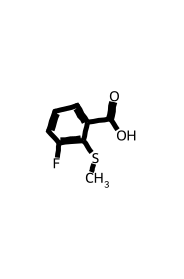 CSc1c(F)cccc1C(=O)O